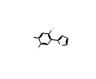 Cc1cc(N)c(-c2ccco2)cc1N